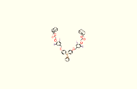 CC1(OC(=O)COc2c(I)cc(COc3ccc4c(c3)-c3cc(OCc5cc(I)c(OCC(=O)OC6(C)C7CC8CC(C7)CC6C8)c(I)c5)ccc3[SH]4c3ccccc3)cc2I)C2CC3CC(C2)CC1C3